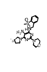 C[C@H]1CCN(c2nc(N3CCOCC3)nc(NCc3ccccc3S(C)(=O)=O)c2N)C1